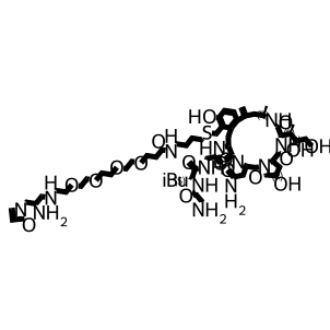 C=C1C[C@@H](C)NC(=O)C([C@@H](C)[C@@H](O)CO)NC(=O)C2C[C@@H](O)CN2C(=O)C(CC(N)=O)NC(=O)C(NC(=O)CNC(=O)C(NC(=O)CN)[C@@H](C)CC)Cc2c1ccc(O)c2CSCCCCNC(=O)CCOCCOCCOCCOCCNCC(N)CN1C=CC1=O